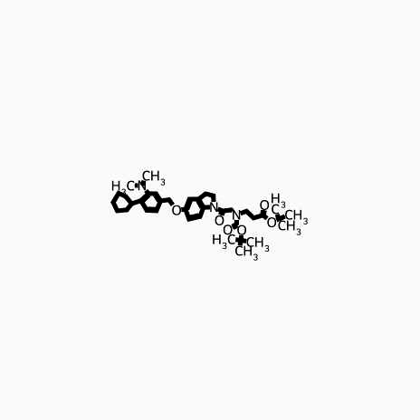 CN(C)c1cc(COc2ccc3c(c2)CCN3C(=O)CN(CCC(=O)OC(C)(C)C)C(=O)OC(C)(C)C)ccc1C1CCCCC1